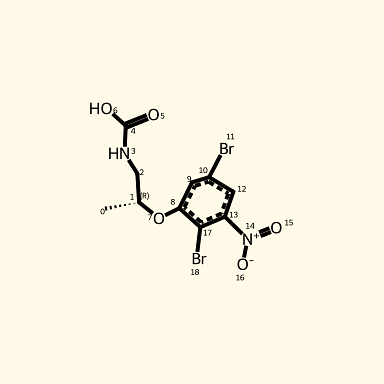 C[C@H](CNC(=O)O)Oc1cc(Br)cc([N+](=O)[O-])c1Br